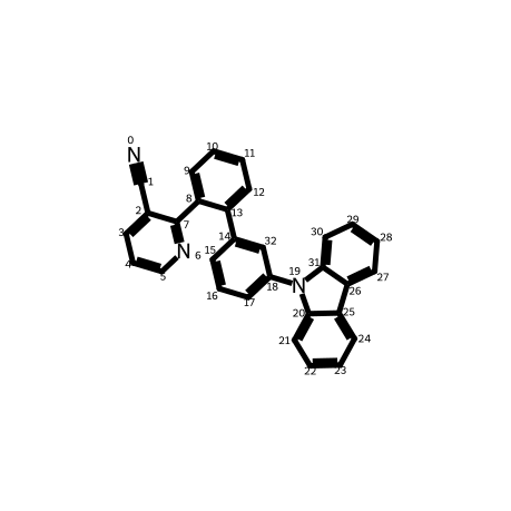 N#Cc1cccnc1-c1ccccc1-c1cccc(-n2c3ccccc3c3ccccc32)c1